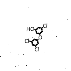 Oc1cc(Cl)cc(Oc2cc(Cl)cc(Cl)c2)c1